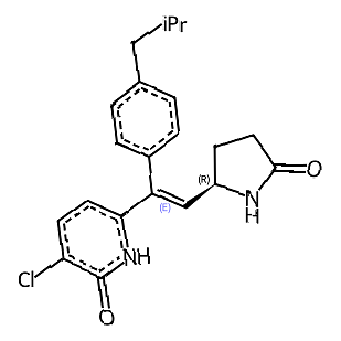 CC(C)Cc1ccc(/C(=C\[C@H]2CCC(=O)N2)c2ccc(Cl)c(=O)[nH]2)cc1